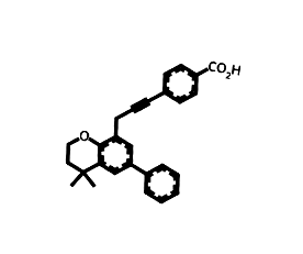 CC1(C)CCOc2c(CC#Cc3ccc(C(=O)O)cc3)cc(-c3ccccc3)cc21